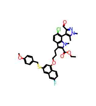 CCOC(=O)c1c(CCCOc2cc(SCc3ccc(OC)cc3)cc3cc(F)ccc23)c2ccc(Cl)c(-c3c(C=O)nn(C)c3C)c2n1C